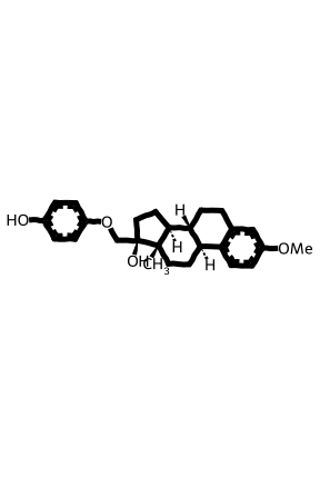 COc1ccc2c(c1)CC[C@@H]1[C@@H]2CC[C@@]2(C)[C@H]1CC[C@@]2(O)COc1ccc(O)cc1